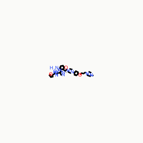 CN1CCN(CCCOc2ccc(N3CCN(C(=O)[C@](C)(c4ccccc4)n4ncc5c4nc(N)n4nc(-c6ccco6)nc54)CC3)cc2)CC1